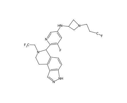 FCCCN1CC(Nc2cnc(C3c4ccc5[nH]ncc5c4CCN3CC(F)(F)F)c(F)c2)C1